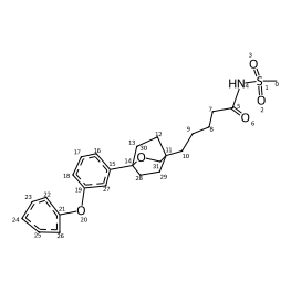 CS(=O)(=O)NC(=O)CCCCC12CCC(c3cccc(Oc4ccccc4)c3)(CC1)OC2